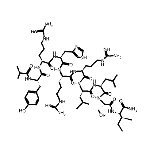 CC[C@H](C)[C@H](NC(=O)[C@H](CO)NC(=O)[C@H](CC(C)C)NC(=O)[C@H](CC(C)C)NC(=O)[C@H](CCCNC(=N)N)NC(=O)[C@H](CCCNC(=N)N)NC(=O)[C@H](Cc1c[nH]cn1)NC(=O)[C@H](CCCNC(=N)N)NC(=O)[C@H](Cc1ccc(O)cc1)NC(=O)C(C)C)C(N)=O